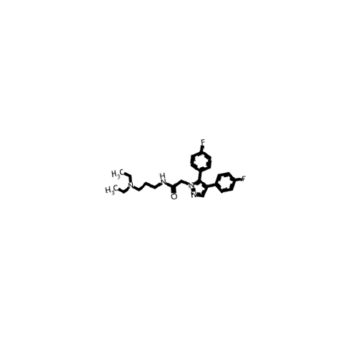 CCN(CC)CCCNC(=O)Cn1ncc(-c2ccc(F)cc2)c1-c1ccc(F)cc1